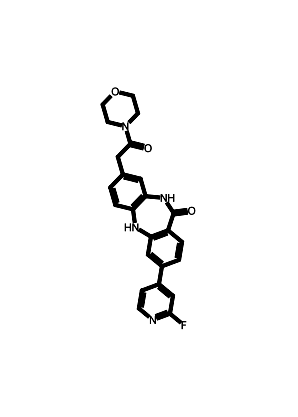 O=C1Nc2cc(CC(=O)N3CCOCC3)ccc2Nc2cc(-c3ccnc(F)c3)ccc21